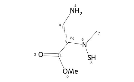 COC(=O)[C@H](CN)N(C)S